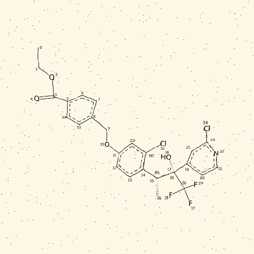 CCOC(=O)c1ccc(COc2ccc([C@@H](C)[C@@](O)(c3ccnc(Cl)c3)C(F)(F)F)c(Cl)c2)cc1